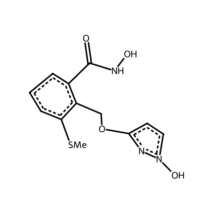 CSc1cccc(C(=O)NO)c1COc1ccn(O)n1